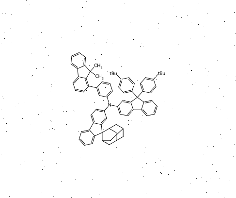 CC(C)(C)c1ccc(C2(c3ccc(C(C)(C)C)cc3)c3ccccc3-c3ccc(N(c4cccc(-c5cccc6c5C(C)(C)c5ccccc5-6)c4)c4ccc5c(c4)C4(c6ccccc6-5)C5CC6CC(C5)CC4C6)cc32)cc1